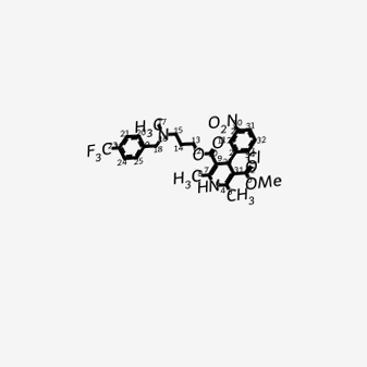 COC(=O)C1=C(C)NC(C)=C(C(=O)OCCCN(C)Cc2ccc(C(F)(F)F)cc2)C1c1cc([N+](=O)[O-])ccc1Cl